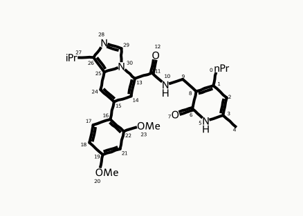 CCCc1cc(C)[nH]c(=O)c1CNC(=O)c1cc(-c2ccc(OC)cc2OC)cc2c(C(C)C)ncn12